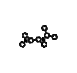 C1=CCCC(C2=CC(c3ccccc3)CC(N3C4C=CC(C5C=C6C(=CC5)N(C5=CC=CCC5)C5CCC=CC65)=CC4C4C=CCCC43)=C2)=C1